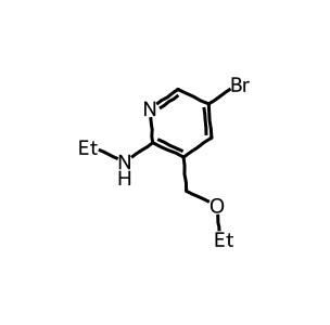 CCNc1ncc(Br)cc1COCC